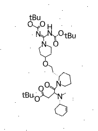 CN(C(CC(=O)OC(C)(C)C)C(=O)N1CCCC[C@H]1CCOC1CCN(C(=NC(=O)OC(C)(C)C)NC(=O)OC(C)(C)C)CC1)[C@@H]1C=CCCC1